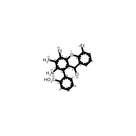 CCc1cccc2c1Oc1c(CC)c(N)c(N)c(-c3ccccc3C(=O)O)c1C2Cl